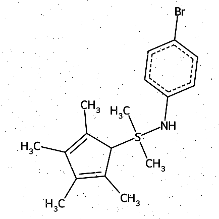 CC1=C(C)C(S(C)(C)Nc2ccc(Br)cc2)C(C)=C1C